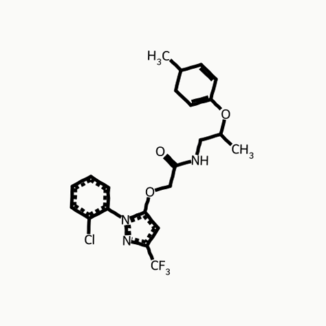 CC1C=CC(OC(C)CNC(=O)COc2cc(C(F)(F)F)nn2-c2ccccc2Cl)=CC1